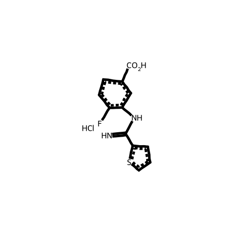 Cl.N=C(Nc1cc(C(=O)O)ccc1F)c1cccs1